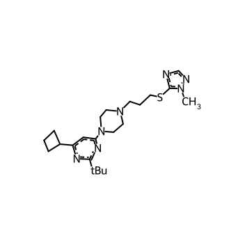 Cn1ncnc1SCCCN1CCN(c2cc(C3CCC3)nc(C(C)(C)C)n2)CC1